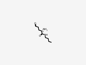 CCCCNC(=O)[C@@H](N)CCC=O